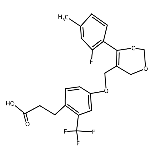 Cc1ccc(C2=C(COc3ccc(CCC(=O)O)c(C(F)(F)F)c3)COCC2)c(F)c1